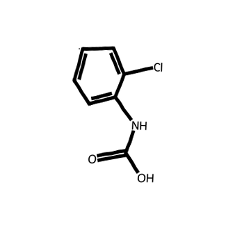 O=C(O)Nc1cc[c]cc1Cl